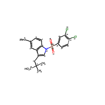 COc1ccc2c(c1)c(CC(C)(C)C(=O)O)cn2S(=O)(=O)c1ccc(Cl)c(Cl)c1